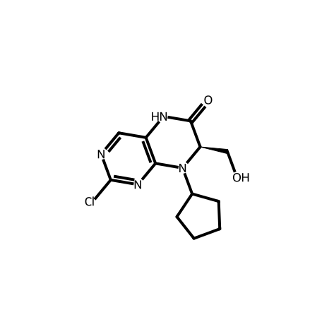 O=C1Nc2cnc(Cl)nc2N(C2CCCC2)[C@@H]1CO